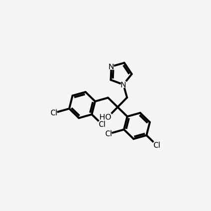 OC(Cc1ccc(Cl)cc1Cl)(Cn1ccnc1)c1ccc(Cl)cc1Cl